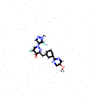 CCOc1cnc(-c2cccc(Cc3nn(-c4cnn(C)c4F)cc(F)c3=O)c2)nc1